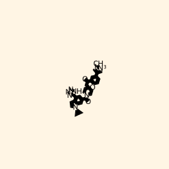 Cn1cc(-c2ccc3c(c2)C(=O)CC2(CCN(C(=O)c4cc(-c5nnn[nH]5)c5ccn(C6CC6)c5c4)CC2)O3)cn1